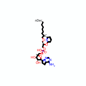 CCCCCCCCCCCCCCCCCCOC[C@H](COP(=O)(O)OC[C@@]1(C)O[C@@H](c2ccc3c(N)ncnn23)[C@H](O)[C@@H]1O)Oc1cccc(C#N)n1